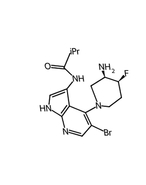 CC(C)C(=O)Nc1c[nH]c2ncc(Br)c(N3CC[C@H](F)[C@H](N)C3)c12